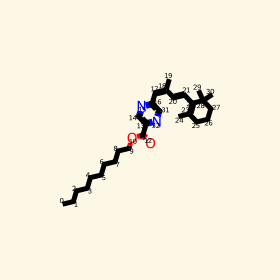 CCCCCCCCCCOC(=O)c1cnc(C=C(C)C=CC2=C(C)CCCC2(C)C)cn1